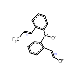 [O-][S+](c1ccccc1/C=C/C(F)(F)F)c1ccccc1/C=C/C(F)(F)F